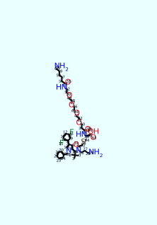 CC(C)(C)[C@H](c1cc(-c2cc(F)ccc2F)cn1Cc1ccccc1)N(CCCN)C(=O)CSC[C@H](NC(=O)CCOCCOCCOCCOCCNC(=O)CCCCCN)C(=O)O